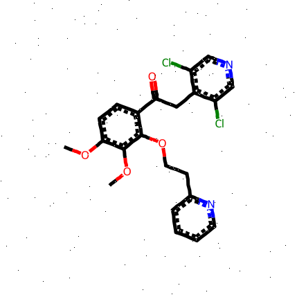 COc1ccc(C(=O)Cc2c(Cl)cncc2Cl)c(OCCc2ccccn2)c1OC